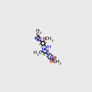 COc1cc(Nc2nc(C)cc(N3CCN(S(C)(=O)=O)CC3)n2)ccc1-n1cnc(C)c1